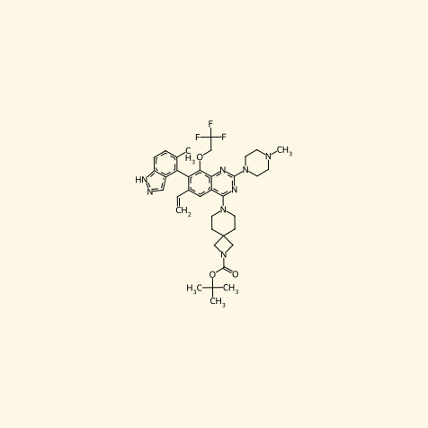 C=Cc1cc2c(N3CCC4(CC3)CN(C(=O)OC(C)(C)C)C4)nc(N3CCN(C)CC3)nc2c(OCC(F)(F)F)c1-c1c(C)ccc2[nH]ncc12